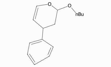 CCCCOC1CC(c2ccccc2)C=CO1